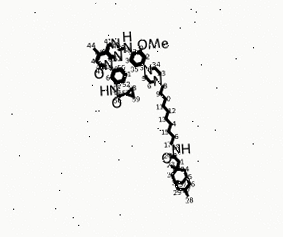 COc1cc(N2CCN(CCCCCCCCCCNC(=O)CC3(C)CC4CC(C)CC(C4)C3)CC2)ccc1Nc1ncc2c(C)cc(=O)n(-c3cccc(NC(=O)C4CC4)c3)c2n1